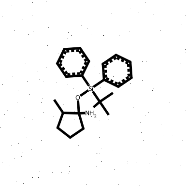 CC1CCCC1(N)O[Si](c1ccccc1)(c1ccccc1)C(C)(C)C